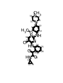 COc1cc(N2CCN(C)CC2)ccc1Nc1ncc(Cl)c(Nc2ccccc2C(=O)C(=O)NC2CC2)n1